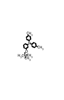 Cc1ccc(N(c2ccc(C)cc2)c2cccc(OC[N+](C)(C)C)c2)cc1